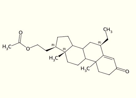 CC[C@@H]1CC2C(CC[C@@]3(C)C2CC[C@@H]3CCOC(C)=O)C2(C)CCC(=O)C=C12